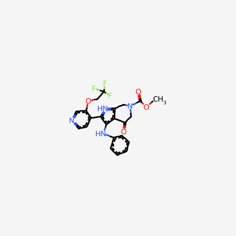 COC(=O)N1CC(=O)c2c([nH]c(-c3ccncc3OCC(F)(F)F)c2Nc2ccccc2)C1